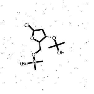 CC(C)(O)O[C@H]1CC(Cl)O[C@@H]1CO[Si](C)(C)C(C)(C)C